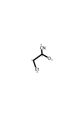 CCCC([O])C#N